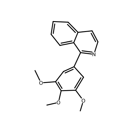 COc1cc(-c2nccc3ccccc23)cc(OC)c1OC